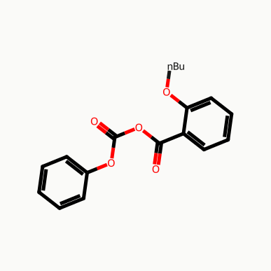 CCCCOc1ccccc1C(=O)OC(=O)Oc1ccccc1